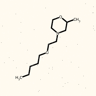 CCCCCOCCN1CCOC(C)C1